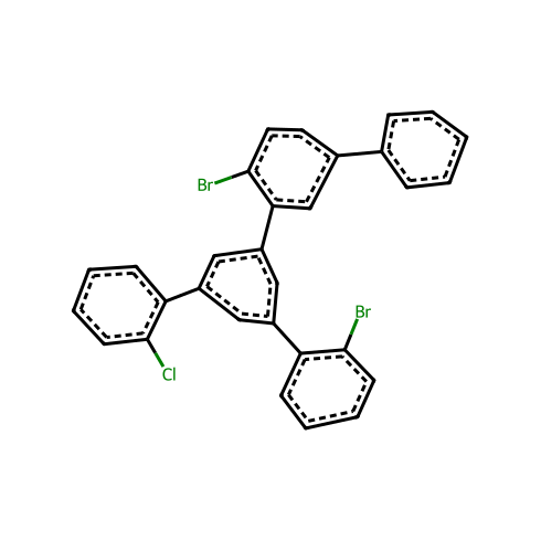 Clc1ccccc1-c1cc(-c2ccccc2Br)cc(-c2cc(-c3ccccc3)ccc2Br)c1